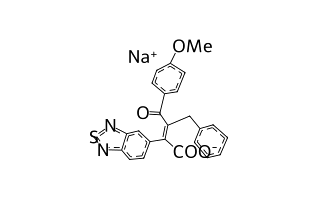 COc1ccc(C(=O)C(Cc2ccccc2)=C(C(=O)[O-])c2ccc3nsnc3c2)cc1.[Na+]